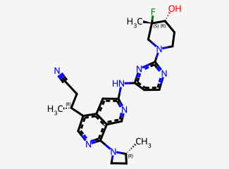 C[C@H](CC#N)c1cnc(N2CC[C@H]2C)c2cnc(Nc3ccnc(N4CC[C@@H](O)[C@@](C)(F)C4)n3)cc12